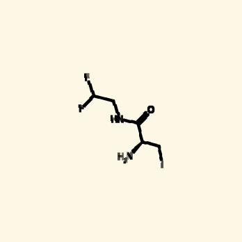 N[C@H](CI)C(=O)NCC(F)F